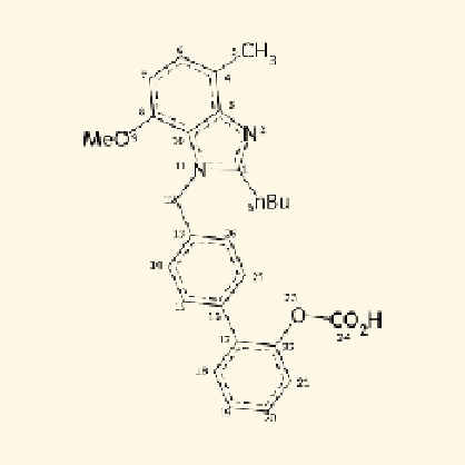 CCCCc1nc2c(C)ccc(OC)c2n1Cc1ccc(-c2ccccc2OC(=O)O)cc1